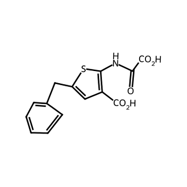 O=C(O)C(=O)Nc1sc(Cc2ccccc2)cc1C(=O)O